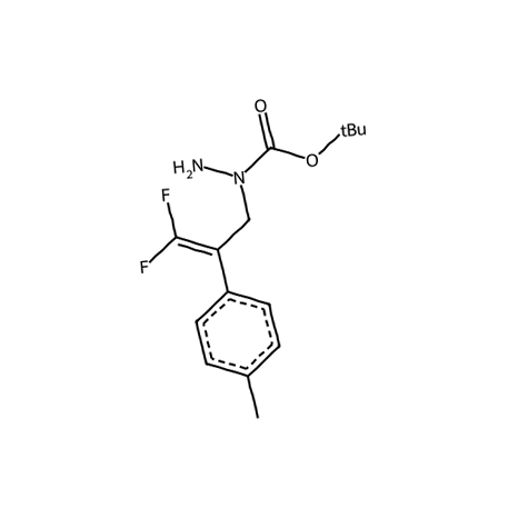 Cc1ccc(C(CN(N)C(=O)OC(C)(C)C)=C(F)F)cc1